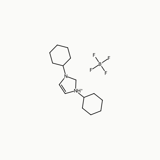 C1=C[NH+](C2CCCCC2)CN1C1CCCCC1.F[B-](F)(F)F